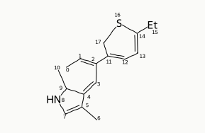 C/C=C(\C=C1\C(C)=CNC1C)C1=CC=C(CC)SC1